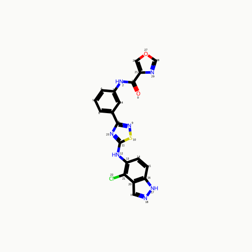 O=C(Nc1cccc(-c2nsc(Nc3ccc4[nH]ncc4c3Cl)n2)c1)c1cocn1